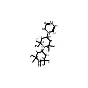 CC1(C)CC(N2C(C)(C)CC(N3C=CN=CC3)CC2(C)C)CC(C)(C)N1